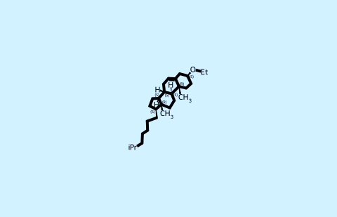 CCO[C@H]1CC[C@@]2(C)C(=CC[C@H]3[C@@H]4CC[C@H](CCCCCC(C)C)[C@@]4(C)CC[C@@H]32)C1